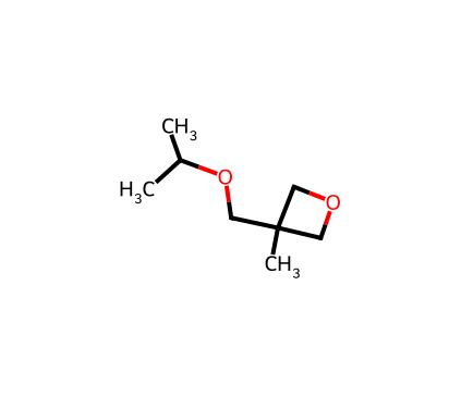 CC(C)OCC1(C)COC1